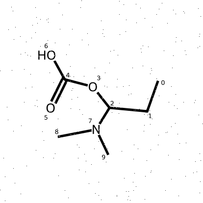 CCC(OC(=O)O)N(C)C